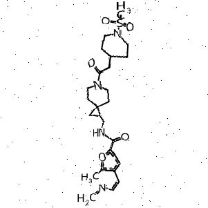 C=N/C=C\c1cc(C(=O)NCC2CC23CCN(C(=O)CC2CCN(S(C)(=O)=O)CC2)CC3)oc1C